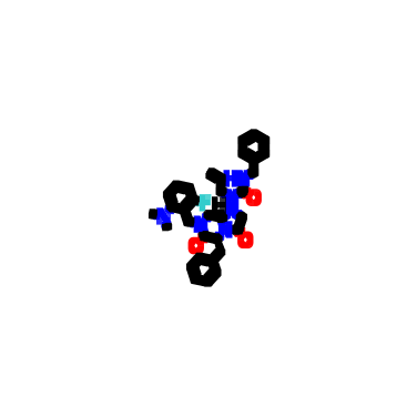 C=CCN(C(=O)NCc1ccccc1)N1CC(=O)N2[C@@H](Cc3ccccc3)C(=O)N(Cc3c(F)cccc3N(C)C)C[C@@H]21